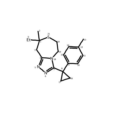 CCC1(C)Cc2nnc(C3(c4ccc(C)cc4)CC3)n2CCS1